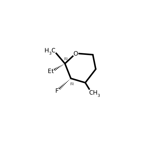 CC[C@]1(C)OCCC(C)[C@@H]1F